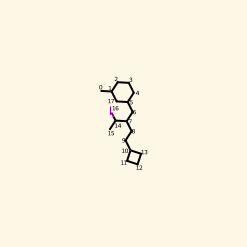 CC1CCCC(CC(CCC2CCC2)C(C)I)C1